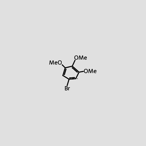 COc1[c]c(Br)cc(OC)c1OC